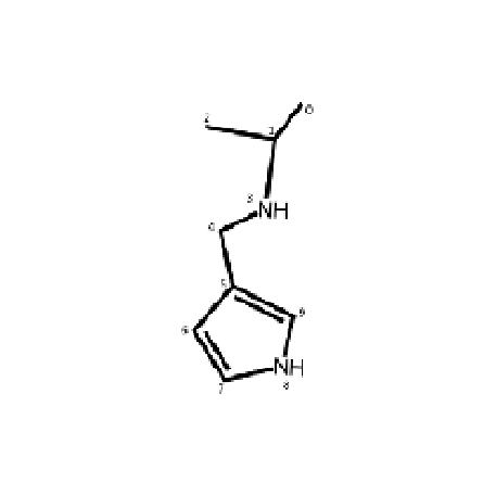 CC(C)NCc1cc[nH]c1